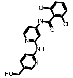 O=C(Nc1ccnc(Nc2ccc(CO)cn2)c1)c1c(Cl)cccc1Cl